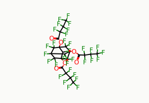 O=C(OC12C(F)C3(OC(=O)C(F)(F)C(F)(F)C(F)(F)F)C(F)(F)C(F)(C1(F)F)C(F)(F)C(OC(=O)C(F)(F)C(F)(F)C(F)(F)F)(C2(F)F)C3(F)F)C(F)(F)C(F)(F)C(F)(F)F